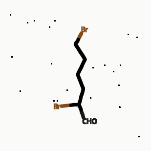 O=CC(Br)CCCCBr